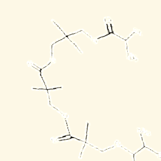 CCCCC(CC)C(=O)OCC(C)(C)COC(=O)C(C)(C)COC(=O)C(C)(C)COC(O)C(CC)CCCC